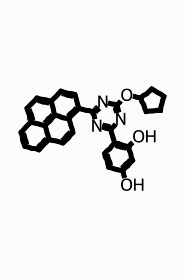 Oc1ccc(-c2nc(OC3CCCC3)nc(-c3ccc4ccc5cccc6ccc3c4c56)n2)c(O)c1